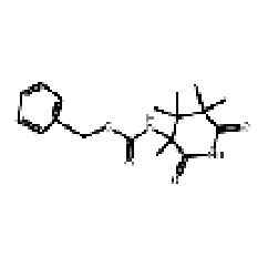 CC1(C)C(=O)NC(=O)C(C)(NC(=O)OCc2ccccc2)C1(C)C